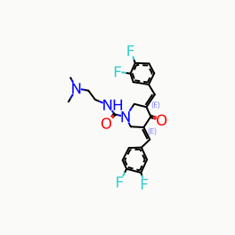 CN(C)CCNC(=O)N1C/C(=C\c2ccc(F)c(F)c2)C(=O)/C(=C/c2ccc(F)c(F)c2)C1